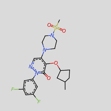 CC1CCC(Oc2c(N3CCN(S(C)(=O)=O)CC3)cnn(-c3cc(F)cc(F)c3)c2=O)C1